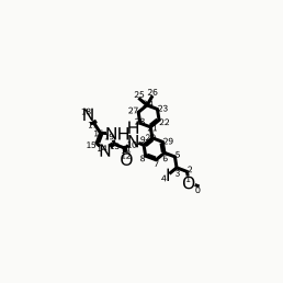 COCC(I)Cc1ccc(NC(=O)c2ncc(C#N)[nH]2)c(C2=CCC(C)(C)CC2)c1